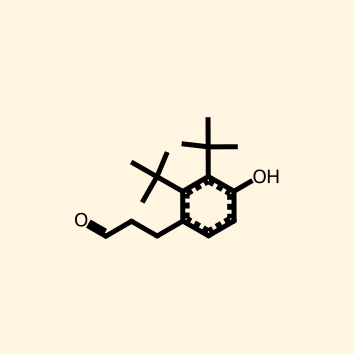 CC(C)(C)c1c(O)ccc(CCC=O)c1C(C)(C)C